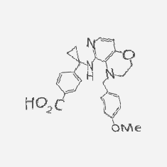 COc1ccc(CN2CCOc3ccnc(NC4(c5ccc(C(=O)O)cc5)CC4)c32)cc1